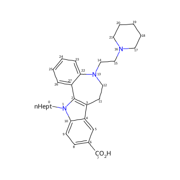 CCCCCCCn1c2c(c3cc(C(=O)O)ccc31)CCN(CCN1CCCCC1)c1ccccc1-2